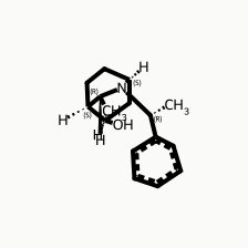 C[C@H](c1ccccc1)N1[C@H]2CC[C@H]([C@H](O)C2)[C@H]1C